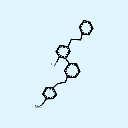 COc1ccc(CCc2cccc(-c3cc(CCc4ccccc4)ccc3C)c2)cc1